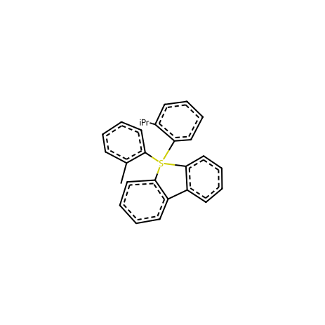 Cc1ccccc1S1(c2ccccc2C(C)C)c2ccccc2-c2ccccc21